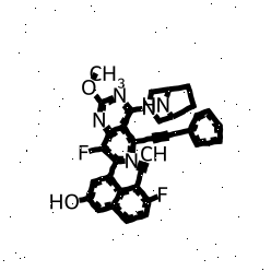 C#Cc1c(F)ccc2cc(O)cc(-c3nc(C#Cc4ccccc4)c4c(N5CC6CCC(C5)N6)nc(OC)nc4c3F)c12